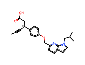 CC#C[C@@H](CC(=O)O)c1ccc(OCc2ccc3ccn(CC(C)C)c3n2)cc1